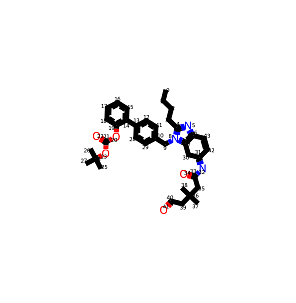 CCCCc1nc2c(n1Cc1ccc(-c3ccccc3OC(=O)OC(C)(C)C)cc1)CC(=NC(=O)CC(C)(C)CC=O)C=C2